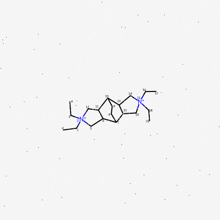 CC[N+]1(CC)CC2C3CCC(C2C1)C1C[N+](CC)(CC)CC31